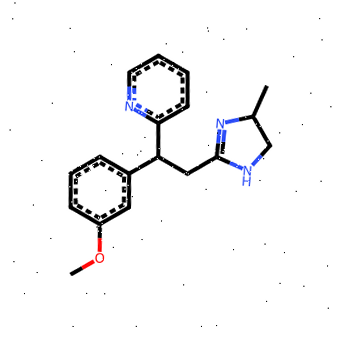 COc1cccc(C(CC2=NC(C)CN2)c2ccccn2)c1